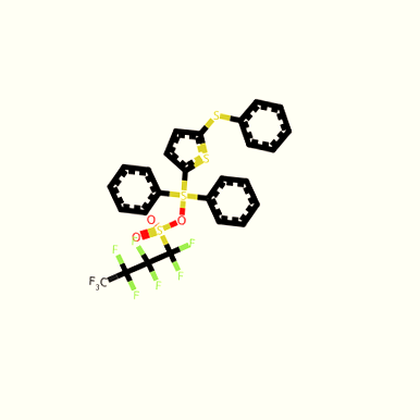 O=S(=O)(OS(c1ccccc1)(c1ccccc1)c1ccc(Sc2ccccc2)s1)C(F)(F)C(F)(F)C(F)(F)C(F)(F)F